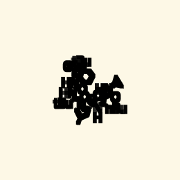 CCCC[C@H](NC(=O)[C@@H]1C[C@@H](C)CN1C(=O)[C@@H](NC(=O)NC1(CS(=O)(=O)C(C)(C)C)CCCCC1)C(C)(C)C)C(=O)C(=O)NC1CC1